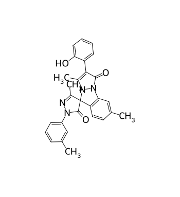 CC1=NN(c2cccc(C)c2)C(=O)C12c1ccc(C)cc1-n1c(=O)c(-c3ccccc3O)c(C)n12